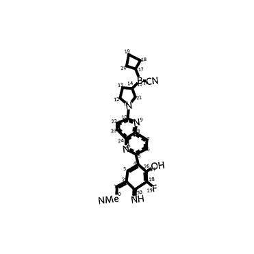 CN/C=C1/C=C(c2ccc3nc(N4CCC(B(C#N)C5CCC5)C4)ccc3n2)C(O)=C(F)C1=N